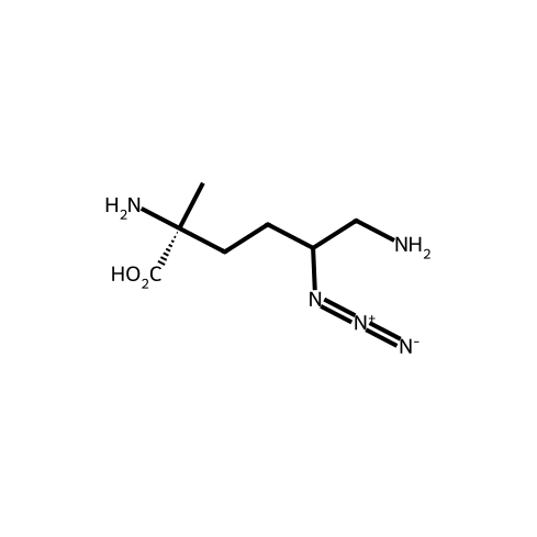 C[C@](N)(CCC(CN)N=[N+]=[N-])C(=O)O